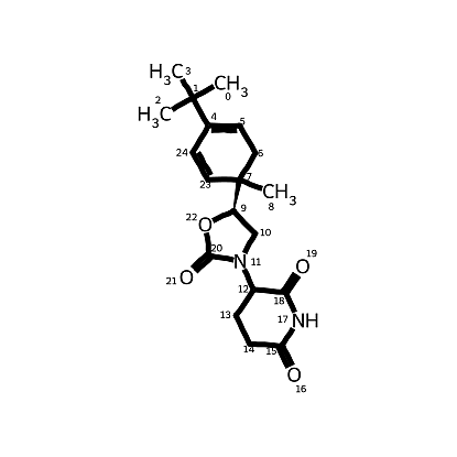 CC(C)(C)C1=CCC(C)([C@H]2CN(C3CCC(=O)NC3=O)C(=O)O2)C=C1